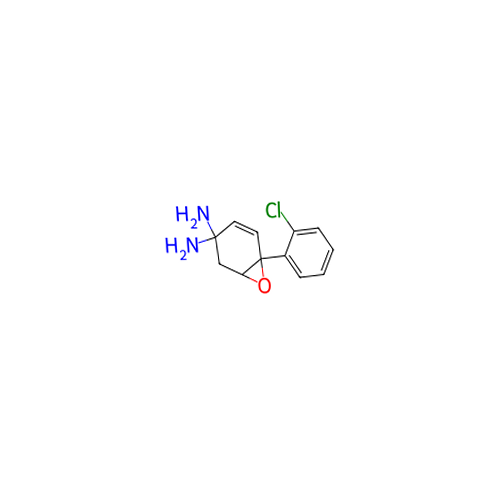 NC1(N)C=CC2(c3ccccc3Cl)OC2C1